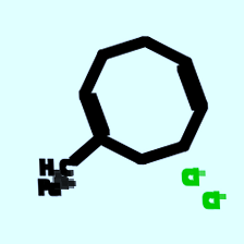 CC1=CCCC=CCC1.[Cl-].[Cl-].[Pd+2]